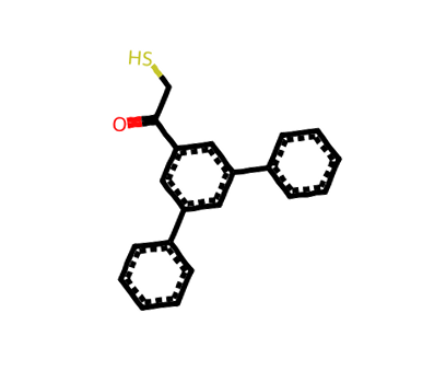 O=C(CS)c1cc(-c2ccccc2)cc(-c2ccccc2)c1